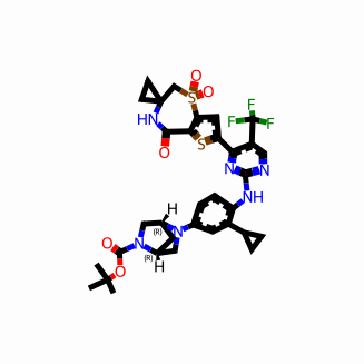 CC(C)(C)OC(=O)N1C[C@H]2C[C@@H]1CN2c1ccc(Nc2ncc(C(F)(F)F)c(-c3cc4c(s3)C(=O)NC3(CC3)CS4(=O)=O)n2)c(C2CC2)c1